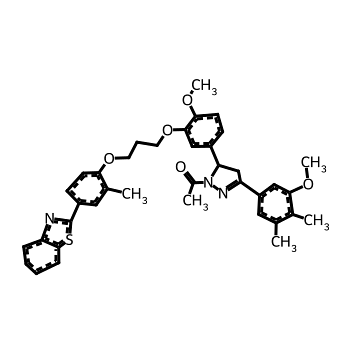 COc1ccc(C2CC(c3cc(C)c(C)c(OC)c3)=NN2C(C)=O)cc1OCCCOc1ccc(-c2nc3ccccc3s2)cc1C